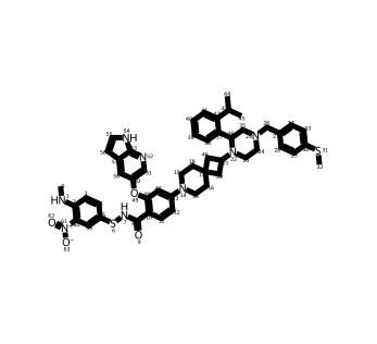 CNc1ccc(SNC(=O)c2ccc(N3CCC4(CC3)CC(N3CCN(Cc5ccc(SC)cc5)CC3c3ccccc3C(C)C)C4)cc2Oc2cnc3[nH]ccc3c2)cc1[N+](=O)[O-]